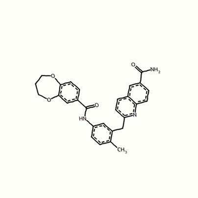 Cc1ccc(NC(=O)c2ccc3c(c2)OCCCO3)cc1Cc1ccc2cc(C(N)=O)ccc2n1